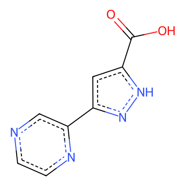 O=C(O)c1cc(-c2cnccn2)n[nH]1